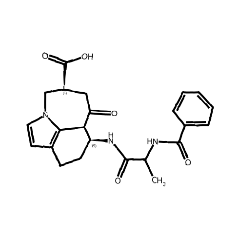 CC(NC(=O)c1ccccc1)C(=O)N[C@H]1CCc2ccn3c2C1C(=O)C[C@H](C(=O)O)C3